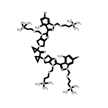 Cc1cc(Br)cc2c1c(-c1nc3c(n1COCC[Si](C)(C)C)CN(C1(C(=O)C4(N5Cc6nc(-c7nn(COCC[Si](C)(C)C)c8cc(Br)cc(C)c78)n(COCC[Si](C)(C)C)c6C5)CC4)CC1)C3)nn2COCC[Si](C)(C)C